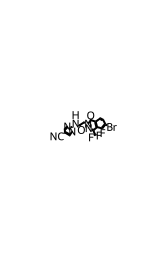 N#Cc1cnc(NC(=O)Cn2nc(C(F)F)c3c(F)c(Br)ccc3c2=O)nc1